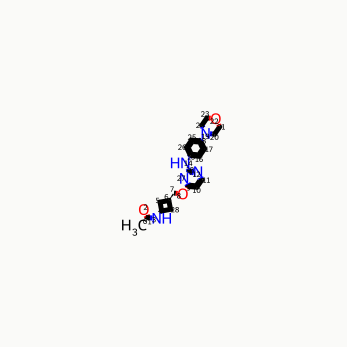 CC(=O)N[C@H]1C[C@H](COc2ccnc(Nc3ccc(N4CCOCC4)cc3)n2)C1